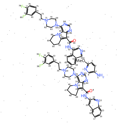 COc1ccc(N)cn1.O=C(Nc1cnc2ccccc2c1)c1c2n(c3c(N4CCN(CCc5ccc(F)c(F)c5)CC4)ncnc13)CCCC2.O=C(Nc1cncc2ccccc12)c1c2n(c3c(N4CCN(CCc5ccc(F)c(F)c5)CC4)ncnc13)CCCC2